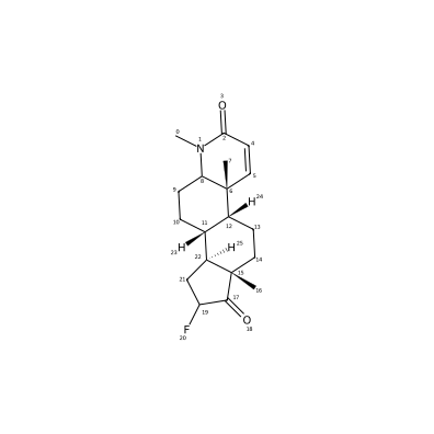 CN1C(=O)C=C[C@@]2(C)C1CC[C@@H]1[C@H]2CC[C@]2(C)C(=O)C(F)C[C@@H]12